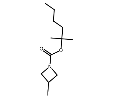 CCCCC(C)(C)OC(=O)N1CC(I)C1